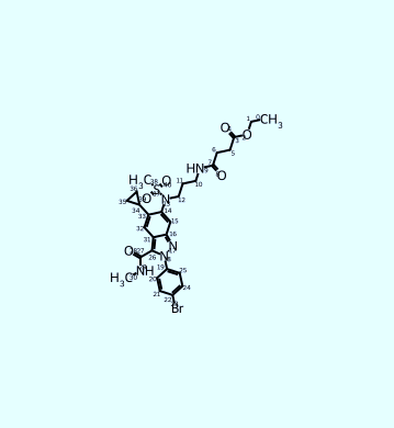 CCOC(=O)CCC(=O)NCCCN(c1cc2nn(-c3ccc(Br)cc3)c(C(=O)NC)c2cc1C1CC1)S(C)(=O)=O